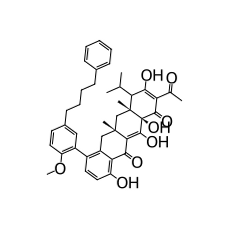 COc1ccc(CCCCc2ccccc2)cc1-c1ccc(O)c2c1C[C@]1(C)C[C@]3(C)C(C(C)C)C(O)=C(C(C)=O)C(=O)[C@]3(O)C(O)=C1C2=O